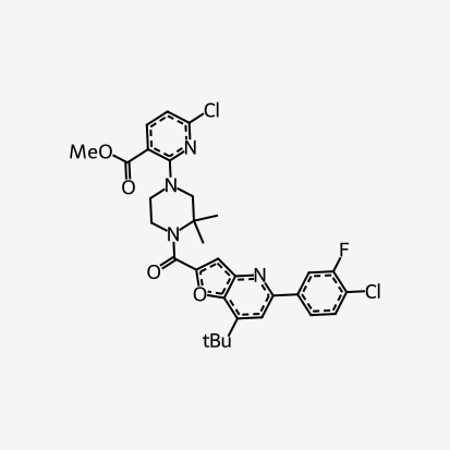 COC(=O)c1ccc(Cl)nc1N1CCN(C(=O)c2cc3nc(-c4ccc(Cl)c(F)c4)cc(C(C)(C)C)c3o2)C(C)(C)C1